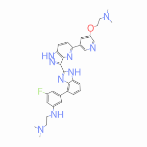 CN(C)CCNc1cc(F)cc(-c2cccc3[nH]c(-c4n[nH]c5ccc(-c6cncc(OCCN(C)C)c6)nc45)nc23)c1